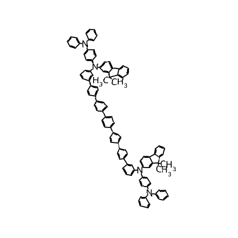 CC1(C)c2ccccc2-c2ccc(N(c3ccc(N(c4ccccc4)c4ccccc4)cc3)c3cccc(-c4ccc(-c5ccc(-c6ccc(-c7ccc(-c8ccc(-c9cccc(N(c%10ccc(N(c%11ccccc%11)c%11ccccc%11)cc%10)c%10ccc%11c(c%10)C(C)(C)c%10ccccc%10-%11)c9)cc8)cc7)cc6)cc5)cc4)c3)cc21